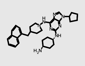 N[C@H]1CC[C@H](Nc2nc(NN3CCC(Cc4cccc5ccccc45)CC3)c3ncn(C4CCCC4)c3n2)CC1